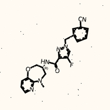 CN1C[C@@H](NC(=O)c2nn(Cc3cccc(C#N)c3)cc2F)COc2cccnc21